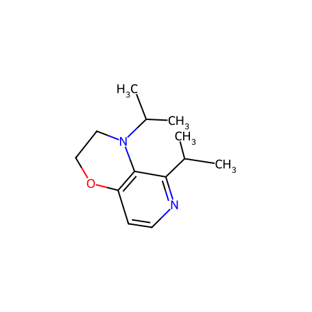 CC(C)c1nccc2c1N(C(C)C)CCO2